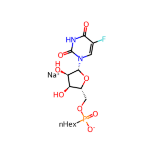 CCCCCCP(=O)([O-])OC[C@H]1O[C@@H](n2cc(F)c(=O)[nH]c2=O)[C@H](O)[C@@H]1O.[Na+]